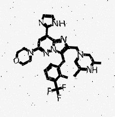 Cc1c(Cc2c(CN3CC(C)NC(C)C3)nc3c(-c4ncc[nH]4)cc(N4CCOCC4)nn23)cccc1C(F)(F)F